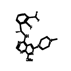 COc1nc(N2CCN(C)CC2)cc2c(N[C@H](C)c3cccc(C(F)F)c3F)ncnc12